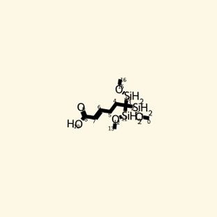 CO[SiH2]C(CCC=CC(=O)O)([SiH2]OC)[SiH2]OC